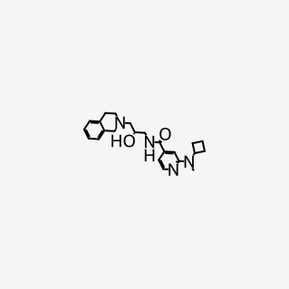 CN(c1cc(C(=O)NC[C@H](O)CN2CCc3ccccc3C2)ccn1)C1CCC1